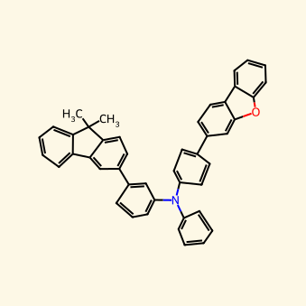 CC1(C)c2ccccc2-c2cc(-c3cccc(N(c4ccccc4)c4ccc(-c5ccc6c(c5)oc5ccccc56)cc4)c3)ccc21